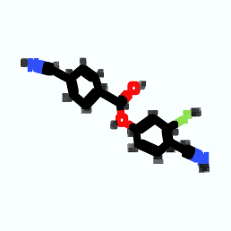 N#Cc1ccc(C(=O)Oc2ccc(C#N)c(F)c2)cc1